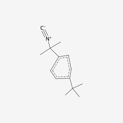 [C-]#[N+]C(C)(C)c1ccc(C(C)(C)C)cc1